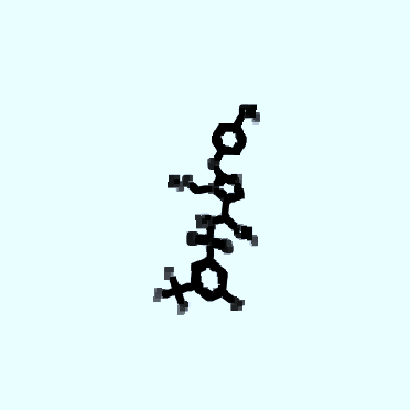 CCn1c(C(C)NS(=O)(=O)c2cc(Br)cc(C(F)(F)F)c2)cnc1Oc1ccc(C)cc1